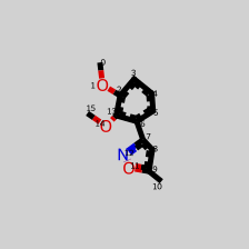 COc1cccc(-c2cc(C)on2)c1OC